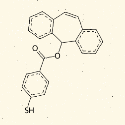 O=C(OC1c2ccccc2C=Cc2ccccc21)c1ccc(S)cc1